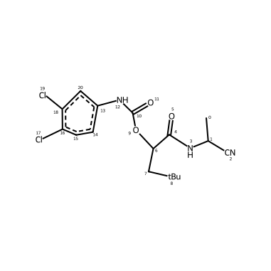 CC(C#N)NC(=O)C(CC(C)(C)C)OC(=O)Nc1ccc(Cl)c(Cl)c1